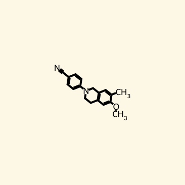 COc1cc2c(cc1C)CN(c1ccc(C#N)cc1)CC2